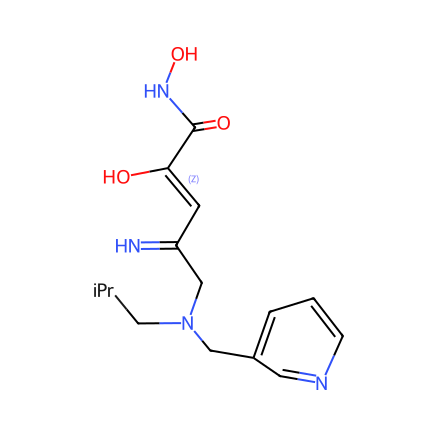 CC(C)CN(CC(=N)/C=C(\O)C(=O)NO)Cc1cccnc1